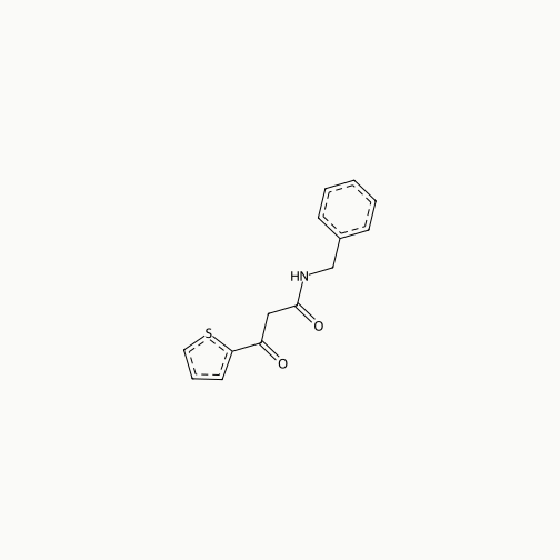 O=C(CC(=O)c1cccs1)NCc1ccccc1